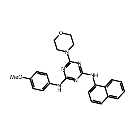 COc1ccc(Nc2nc(Nc3cccc4ccccc34)nc(N3CCOCC3)n2)cc1